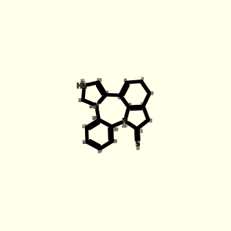 S=C1CC2=C3C(=CCC2)C2=CNCN2c2ccccc2N13